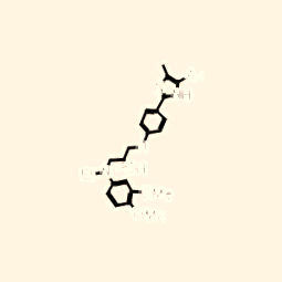 CCN(C[C@H](O)COc1ccc(-c2nc(C)c(C(C)=O)[nH]2)cc1)c1ccc(OC)c(OC)c1